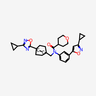 O=C(C1CCOCC1)N(CC12CCC(c3nc(C4CC4)no3)(CC1)CC2)c1cccc(-c2cc(C3CC3)no2)c1